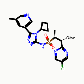 CO[C@H](c1ncc(Cl)cn1)[C@H](C)S(=O)(=O)Nc1nnc(-c2cncc(C)c2)n1C1CCC1